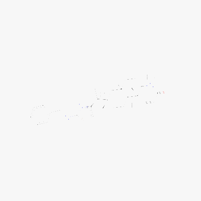 CN1C(=O)C=C[C@]2(C)[C@H]3CC[C@]4(C)[C@@H](c5csc(NCc6ccccc6)n5)CC[C@H]4[C@@H]3CC[C@@H]12